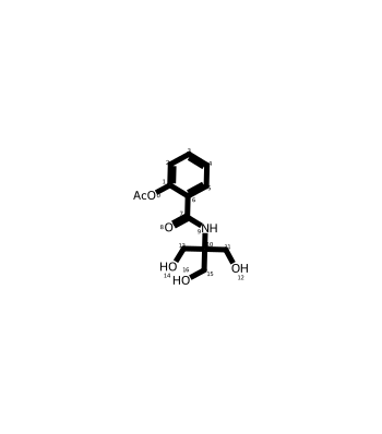 CC(=O)Oc1ccccc1C(=O)NC(CO)(CO)CO